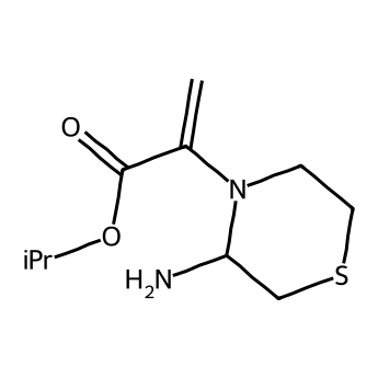 C=C(C(=O)OC(C)C)N1CCSCC1N